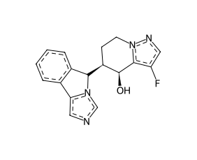 O[C@@H]1c2c(F)cnn2CC[C@@H]1C1c2ccccc2-c2cncn21